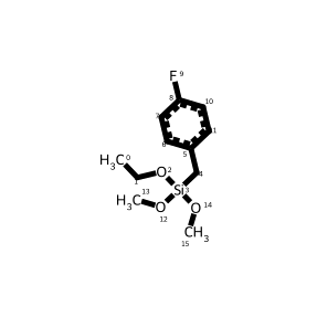 CCO[Si](Cc1ccc(F)cc1)(OC)OC